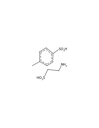 Cc1ccc(S(=O)(=O)O)cc1.NCCS(=O)(=O)O